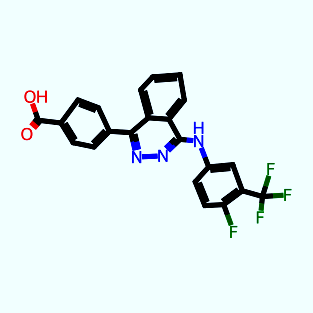 O=C(O)c1ccc(-c2nnc(Nc3ccc(F)c(C(F)(F)F)c3)c3ccccc23)cc1